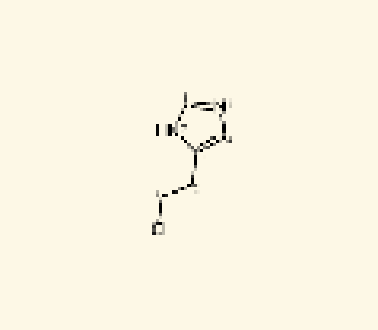 ClCCc1cnc[nH]1